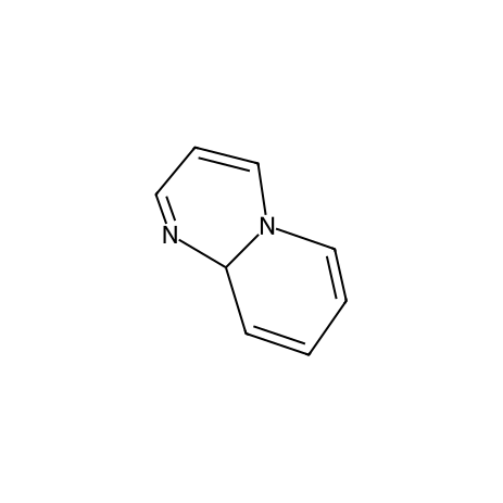 C1=CC2N=CC=CN2C=C1